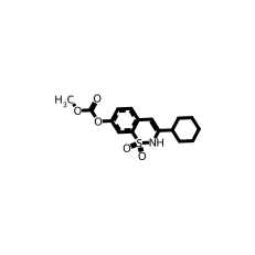 COC(=O)Oc1ccc2c(c1)S(=O)(=O)NC(C1CCCCC1)=C2